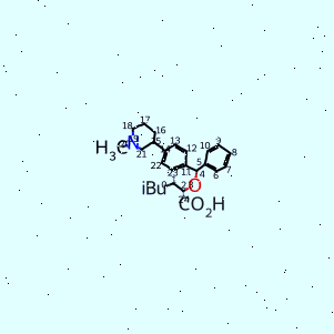 CCC(C)C[C@H](O[C@H](c1ccccc1)c1ccc(C2CCCN(C)C2)cc1)C(=O)O